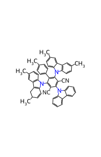 Cc1ccc(-c2c(-n3c4c(c5cc(C)ccc53)CC(C)C=C4)c(C#N)c(-n3c4ccccc4c4ccccc43)c(C#N)c2-n2c3ccc(C)cc3c3cc(C)ccc32)cc1